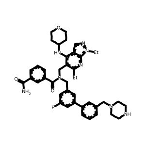 CCc1nc2c(cnn2CC)c(NC2CCOCC2)c1CN(Cc1cc(F)cc(-c2cccc(CN3CCNCC3)c2)c1)C(=O)c1cccc(C(N)=O)c1